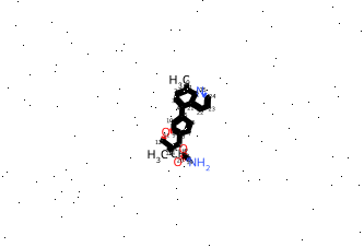 Cc1ccc(-c2ccc3c(c2)OCC(C)(C)C3OC(N)=O)c2cccnc12